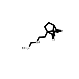 CC1(C)C2CCC1(CCNCC(=O)O)C(=O)C2=O